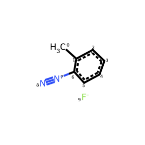 Cc1ccccc1[N+]#N.[F-]